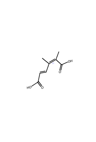 C/C(C=CC(=O)O)=C(\C)C(=O)O